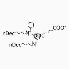 CCCCCCCCCCCCCC[N+](C)(C)Cc1ccccc1.CCCCCCCCCCCCCC[N+](C)(C)Cc1ccccc1.O=C([O-])CCCCC(=O)[O-]